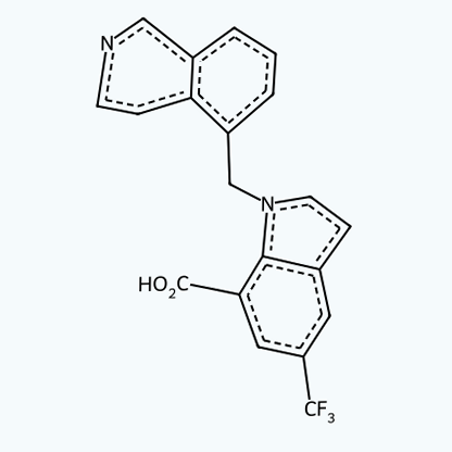 O=C(O)c1cc(C(F)(F)F)cc2ccn(Cc3cccc4cnccc34)c12